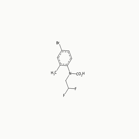 Cc1cc(Br)ccc1N(CC(F)F)C(=O)O